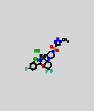 CC(NC(=O)c1ccc(F)cc1Cl)C1(N2CCN(S(=O)(=O)c3cn(C)nn3)CC2)CCC(F)(F)CC1.Cl